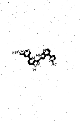 CCNCc1cncc(-c2ccc3[nH]nc(-c4cc5c(-c6ccc(C(C)=O)s6)ccnc5[nH]4)c3n2)c1